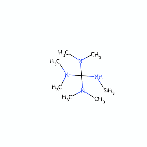 CN(C)C(N[SiH3])(N(C)C)N(C)C